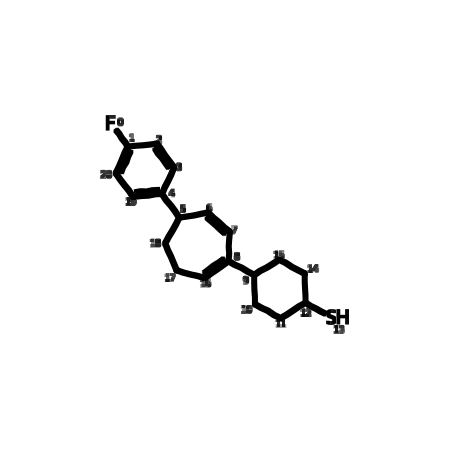 Fc1ccc(C2C=CC(C3CCC(S)CC3)=CCC2)cc1